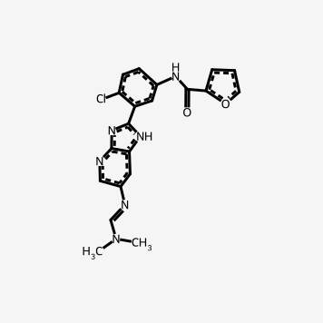 CN(C)C=Nc1cnc2nc(-c3cc(NC(=O)c4ccco4)ccc3Cl)[nH]c2c1